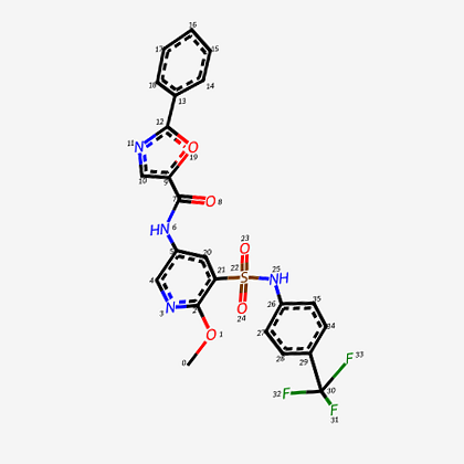 COc1ncc(NC(=O)c2cnc(-c3ccccc3)o2)cc1S(=O)(=O)Nc1ccc(C(F)(F)F)cc1